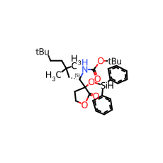 CC(C)(C)CCC(C)(C)C[C@H](NC(=O)OC(C)(C)C)C1(O[SiH](c2ccccc2)c2ccccc2)CCOC1=O